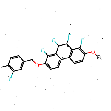 CCCc1ccc(COc2ccc3c(c2F)C(F)C(F)c2c-3ccc(OCC)c2F)cc1F